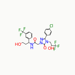 O=C(Cn1nc(-c2ccc(Cl)cc2)n(CC(O)C(F)(F)F)c1=O)NC(CCO)c1cccc(C(F)(F)F)c1